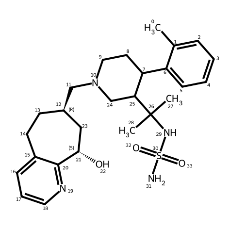 Cc1ccccc1C1CCN(C[C@@H]2CCc3cccnc3[C@@H](O)C2)CC1C(C)(C)NS(N)(=O)=O